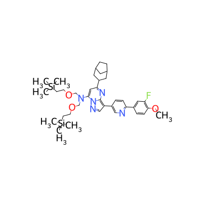 COc1ccc(-c2ccc(-c3cnn4c(N(COCC[Si](C)(C)C)COCC[Si](C)(C)C)cc(C5CC6CCC(C6)C5)nc34)cn2)cc1F